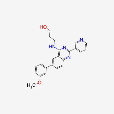 COc1cccc(-c2ccc3nc(-c4cccnc4)nc(NCCCO)c3c2)c1